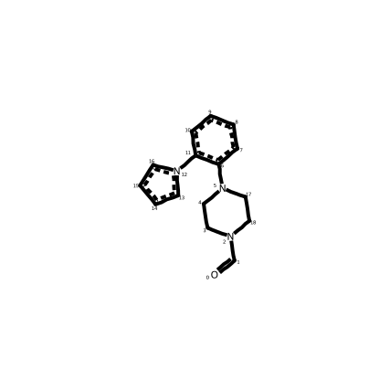 O=CN1CCN(c2ccccc2-n2cccc2)CC1